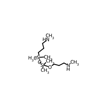 CNCCCO[Si](C)(C)O[Si](C)(C)CCCNC